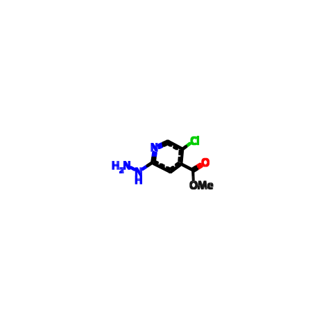 COC(=O)c1cc(NN)ncc1Cl